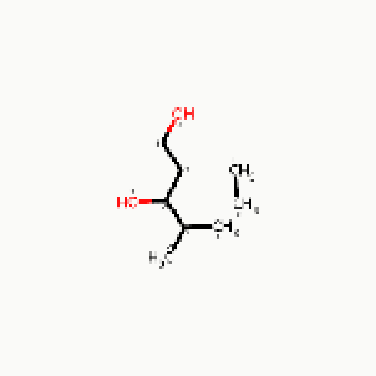 CC.CC(C)C(O)CCO